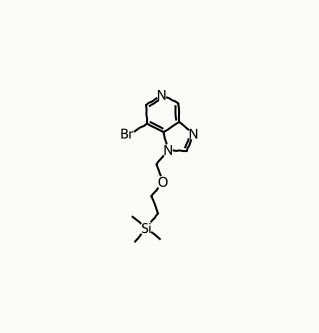 C[Si](C)(C)CCOCn1cnc2cncc(Br)c21